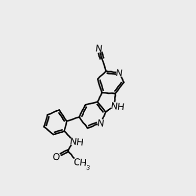 CC(=O)Nc1ccccc1-c1cnc2[nH]c3cnc(C#N)cc3c2c1